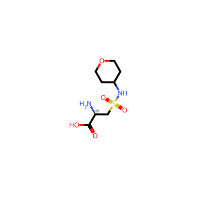 N[C@@H](CS(=O)(=O)NC1CCOCC1)C(=O)O